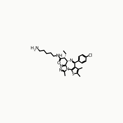 CC[C@@H](C(=O)NCCCCCN)[C@@H]1N=C(c2ccc(Cl)cc2)c2c(sc(C)c2C)-n2c(C)nnc21